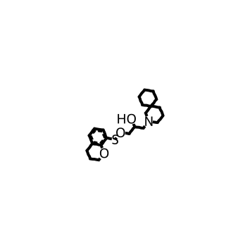 OC(COSc1cccc2c1OCCC2)CN1CCCC2(CCCCC2)C1